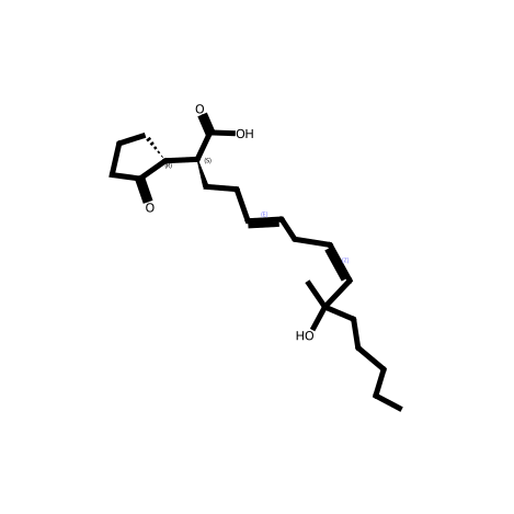 CCCCCC(C)(O)/C=C\C/C=C/CC[C@H](C(=O)O)[C@H]1CCCC1=O